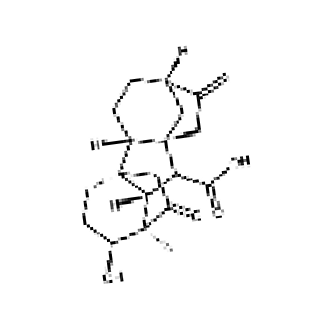 C=C1C[C@]23C[C@@H]1CC[C@H]2[C@@]12CC[C@H](O)[C@](C)(C(=O)C1)[C@H]2C3C(=O)O